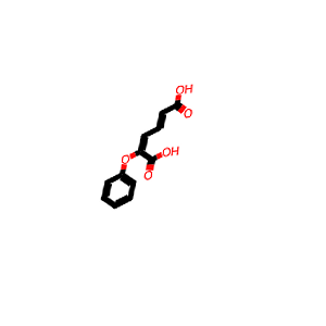 O=C(O)C=CC=C(Oc1ccccc1)C(=O)O